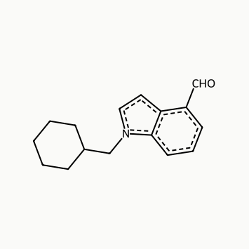 O=Cc1cccc2c1ccn2CC1CCCCC1